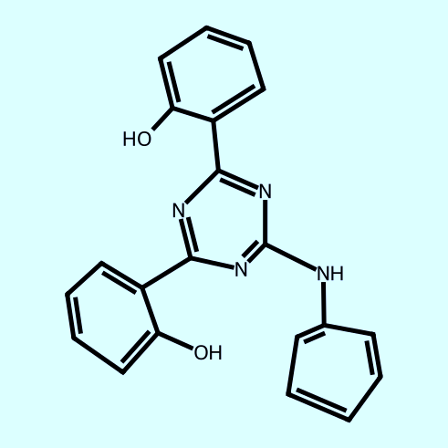 Oc1ccccc1-c1nc(Nc2ccccc2)nc(-c2ccccc2O)n1